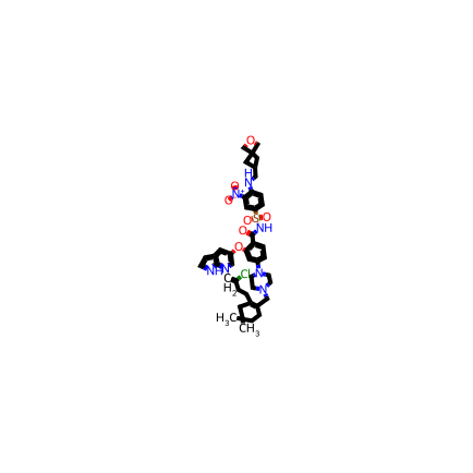 C=C(Cl)CCC1=C(CN2CCN(c3ccc(C(=O)NS(=O)(=O)c4ccc(NCC5CC6(COC6)C5)c([N+](=O)[O-])c4)c(Oc4cnc5[nH]ccc5c4)c3)CC2)CCC(C)(C)C1